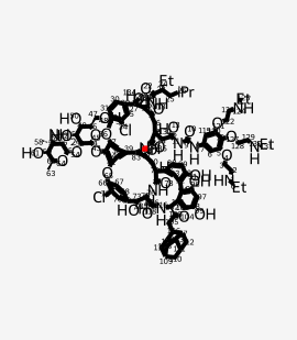 CCNCCOc1cc(NC(=O)NC(=O)C[C@@H]2CC(=O)[C@H](NC(=O)[C@H](CC)CC(C)C)[C@H](O)c3ccc(c(Cl)c3)Oc3cc4cc(c3O[C@@H]3O[C@H](CO)[C@@H](O)[C@H](O)[C@H]3O[C@H]3C[C@](C)(N)[C@H](O)[C@H](C)O3)Oc3ccc(cc3Cl)[C@@H](O)[C@@H]3NC(=O)[C@H](CC(=O)[C@@H]4NC2=O)c2ccc(O)c(c2)-c2c(O)cc(O)cc2[C@@H](C(=O)CC2C4CC5CC(C4)CC2C5)NC3=O)cc(OCCNCC)c1OCCNCC